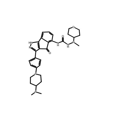 CN(C)C1CCN(c2ccc(-c3n[nH]c4c3C(=O)c3c(NC(=O)NN(C)C5CCOCC5)cccc3-4)cc2)CC1